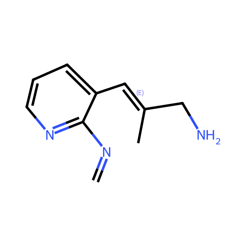 C=Nc1ncccc1/C=C(\C)CN